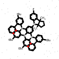 CC(C)(C)c1ccc2c(c1)B1c3cc(C(C)(C)C)ccc3N(c3ccc(C(C)(C)C)cc3-c3ccccc3)c3cc(N4c5ccc(F)cc5C5(C)CCCC45C)cc(c31)N2c1ccc(C(C)(C)C)cc1-c1ccccc1